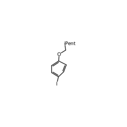 CCCC(C)COc1ccc(I)cc1